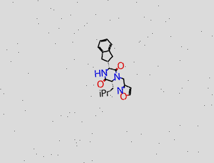 CC(C)C[C@@H]1C(=O)N[C@H](C2Cc3ccccc3C2)C(=O)N1Cc1ccon1